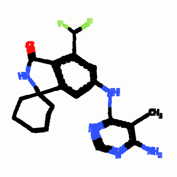 Cc1c(N)ncnc1Nc1cc(C(F)F)c2c(c1)C1(CCCCC1)NC2=O